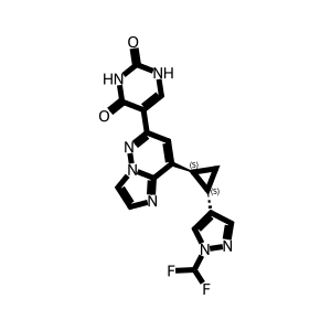 O=c1[nH]cc(-c2cc([C@H]3C[C@@H]3c3cnn(C(F)F)c3)c3nccn3n2)c(=O)[nH]1